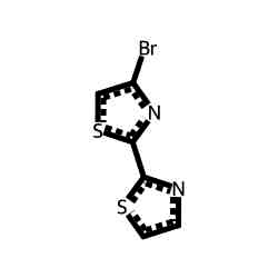 Brc1csc(-c2nccs2)n1